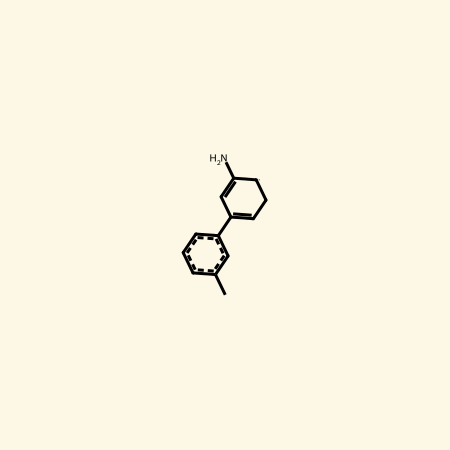 Cc1cccc(C2=CC[CH]C(N)=C2)c1